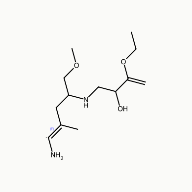 C=C(OCC)C(O)CNC(COC)C/C(C)=[C]/N